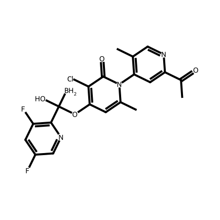 BC(O)(Oc1cc(C)n(-c2cc(C(C)=O)ncc2C)c(=O)c1Cl)c1ncc(F)cc1F